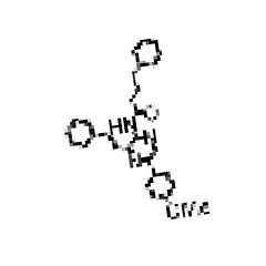 COc1ccc(-c2cnc(NC(=O)CCCc3ccccc3)c(/C=C/c3ccccc3)n2)cc1